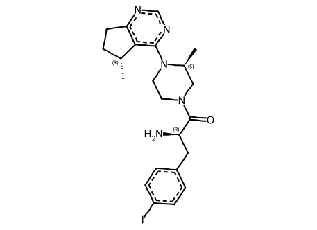 C[C@@H]1CCc2ncnc(N3CCN(C(=O)[C@H](N)Cc4ccc(I)cc4)C[C@@H]3C)c21